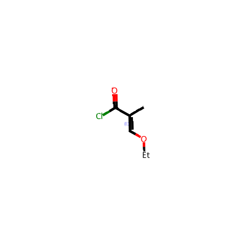 CCO/C=C(\C)C(=O)Cl